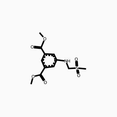 COC(=O)c1cc(NCS(C)(=O)=O)cc(C(=O)OC)c1